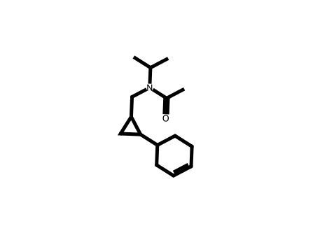 CC(=O)N(CC1CC1C1CC=CCC1)C(C)C